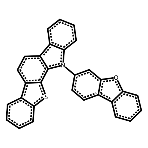 c1ccc2c(c1)oc1cc(-n3c4ccccc4c4ccc5c6ccccc6sc5c43)ccc12